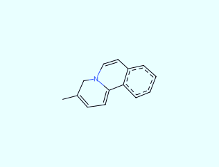 CC1=CC=C2c3ccccc3C=CN2C1